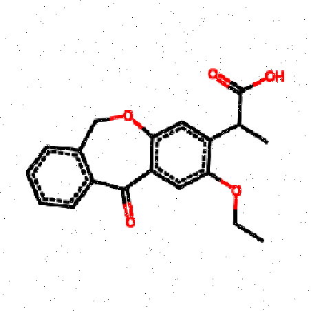 CCOc1cc2c(cc1C(C)C(=O)O)OCc1ccccc1C2=O